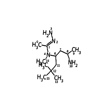 C/C(=N\N)N(C)C(CC(C)N)CC(C)(C)C